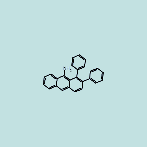 Nc1c2ccccc2cc2ccc(-c3ccccc3)c(-c3ccccc3)c12